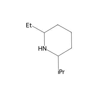 CCC1CCCC(C(C)C)N1